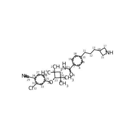 CC1(C)[C@H](NC(=O)c2ccc(CCCC3CNC3)cc2)C(C)(C)[C@H]1Oc1ccc(C#N)c(Cl)c1